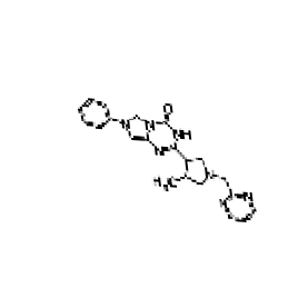 CC1CN(Cc2ncccn2)CC1C1=NC2=CN(c3ccccc3)CN2C(=O)N1